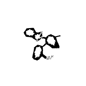 Cc1ccc(-c2ccccc2S(=O)(=O)O)c(-n2nc3ccccc3n2)c1